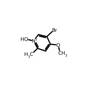 COc1cc(C)[n+](O)cc1Br